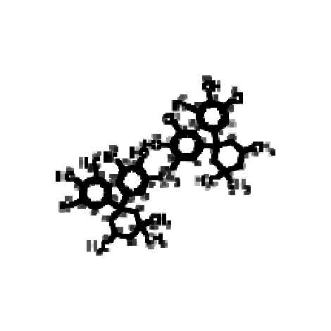 CC1CC(C)(C)CC(c2cc(Cl)c(O)c(C(C)C)c2)(c2cc(Cl)c(O)c(C(C)C)c2)C1.Cc1cc(C2(c3cc(C)c(O)c(Br)c3)CC(C)CC(C)(C)C2)cc(Br)c1O